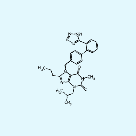 CCCc1nc2c(c(=O)n(C)c(=O)n2CC(C)C)n1Cc1ccc(-c2ccccc2-c2nnn[nH]2)cc1